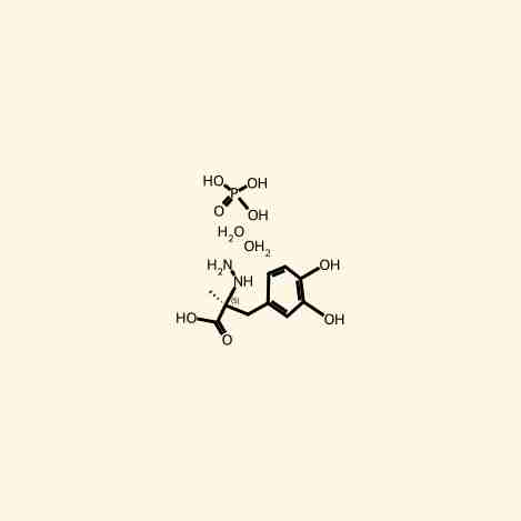 C[C@@](Cc1ccc(O)c(O)c1)(NN)C(=O)O.O.O.O=P(O)(O)O